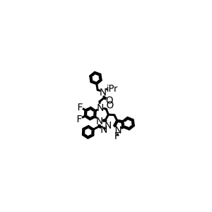 CC(C)N(Cc1ccccc1)C(=O)CN1C(=O)C(Cc2cn(F)c3ccccc23)c2nnc(-c3ccccc3)n2-c2cc(F)c(F)cc21